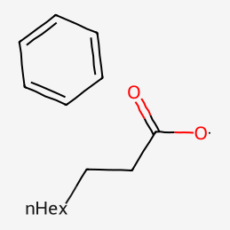 CCCCCCCCC([O])=O.c1ccccc1